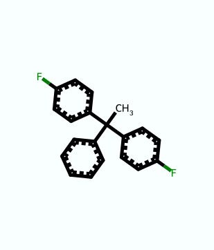 CC(c1ccccc1)(c1ccc(F)cc1)c1ccc(F)cc1